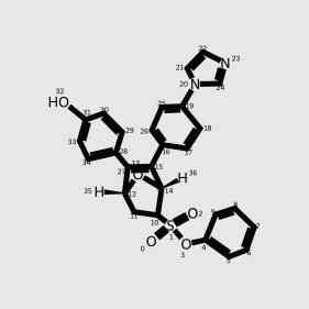 O=S(=O)(Oc1ccccc1)C1C[C@H]2O[C@@H]1C(c1ccc(-n3ccnc3)cc1)=C2c1ccc(O)cc1